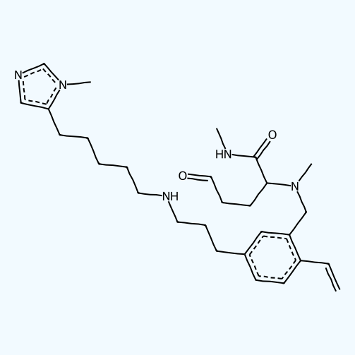 C=Cc1ccc(CCCNCCCCCc2cncn2C)cc1CN(C)C(CCC=O)C(=O)NC